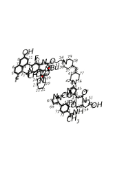 C#Cc1c(F)ccc2cc(O)cc(-c3ncc4c(N5CC6CCC(C5)N6C(=O)OC(C)(C)C)nc(OCCN5CCC(CC6CCN(c7cc([C@H](C(=O)N8C[C@H](O)C[C@H]8C(=O)N[C@@H](C)c8ccc(-c9ccnn9C)cc8)C(C)C)on7)CC6)CC5)nc4c3F)c12